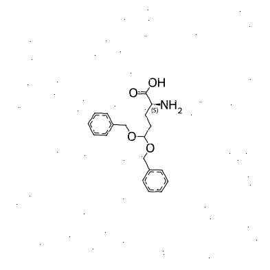 N[C@@H](CCC(OCc1ccccc1)OCc1ccccc1)C(=O)O